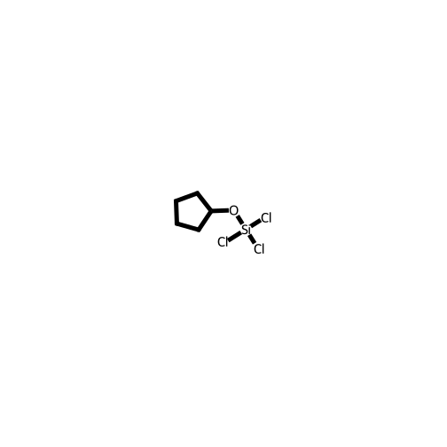 Cl[Si](Cl)(Cl)OC1CCCC1